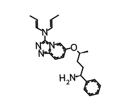 C/C=C/N(/C=C/C)c1nnc2ccc(O[C@@H](C)CC[C@H](N)c3ccccc3)cn12